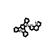 c1cnc2c(c1)ccc1ccc(-n3c4ccccc4c4cc5c6ccccc6n6c7ccccc7c(c43)c56)nc12